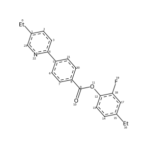 CCc1ccc(-c2ccc(C(=O)Oc3ccc(CC)cc3F)cc2)nc1